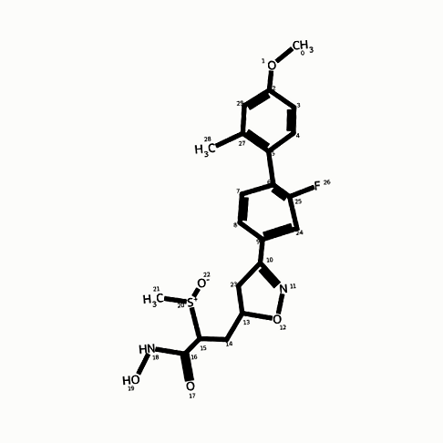 COc1ccc(-c2ccc(C3=NOC(CC(C(=O)NO)[S+](C)[O-])C3)cc2F)c(C)c1